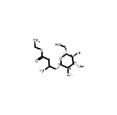 CCOC(=O)CC(C)C[C@@H]1O[C@H](CO)[C@@H](O)[C@H](O)[C@H]1O